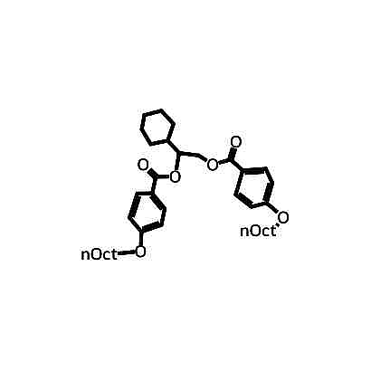 CCCCCCCCOc1ccc(C(=O)OCC(OC(=O)c2ccc(OCCCCCCCC)cc2)C2CCCCC2)cc1